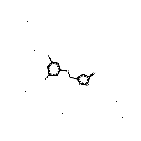 O=c1cc(COc2cc(F)cc(F)c2)[nH][nH]1